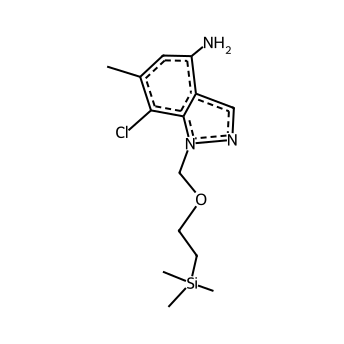 Cc1cc(N)c2cnn(COCC[Si](C)(C)C)c2c1Cl